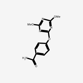 COc1nc(OC)nc(Oc2ccc(C(N)=O)cc2)n1